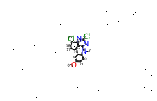 COc1ccc(N(C)c2nc(Cl)nc3c(Cl)cccc23)cc1